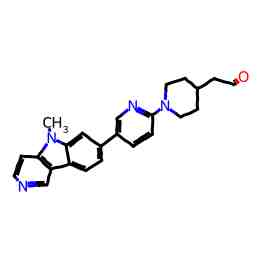 Cn1c2ccncc2c2ccc(-c3ccc(N4CCC(CC=O)CC4)nc3)cc21